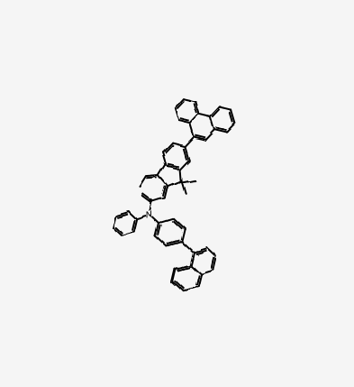 C=C(/C=C1\C(=C/C)c2ccc(-c3cc4ccccc4c4ccccc34)cc2C1(C)C)N(c1ccccc1)c1ccc(-c2cccc3ccccc23)cc1